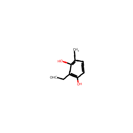 Cc1ccc(O)c(CC=O)c1O